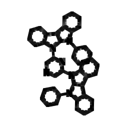 c1ccc(-n2c3ccccc3c3c4ccccc4n(-c4cncc(-n5c6ccccc6c6c7ccccc7n(-c7ccccc7)c65)n4)c32)cc1